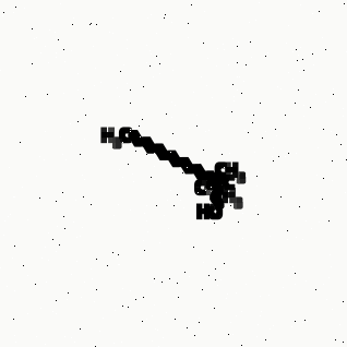 CCCCCCCCCCCCCCC(Cl)(CCCO)[C](C)C